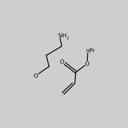 C=CC(=O)OCCC.[O]CCC[SiH3]